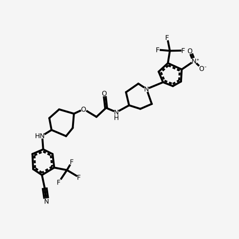 N#Cc1ccc(NC2CCC(OCC(=O)NC3CCN(c4ccc([N+](=O)[O-])c(C(F)(F)F)c4)CC3)CC2)cc1C(F)(F)F